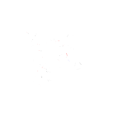 C=C1C[C@@H](C)O[C@@H](O[C@@H]2[C@@H](C)[C@H](O[C@H]3C[C@@]4(C)OC(=O)O[C@H]4[C@H](C)O3)[C@@H](C)C(=O)O[C@H]([C@@H](C)CO[C@@H]3O[C@H](C)[C@@H](O)[C@@H](OC)[C@H]3OC)[C@H](C)[C@@H](OC(=O)CC(C)C)[C@@H](C)C(=O)[C@@](C)(OC(=O)NCc3ccccc3)C[C@@H]2C)[C@@H]1O